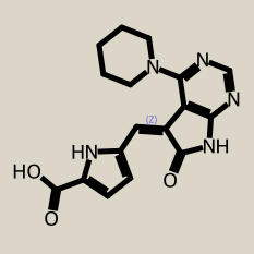 O=C1Nc2ncnc(N3CCCCC3)c2/C1=C/c1ccc(C(=O)O)[nH]1